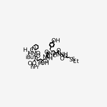 CCCC(=O)OCN(C(=O)[C@@H](NC(=O)[C@H]1CCCCN1C)C(C)CC)[C@H](C[C@@H](O)c1nc(C(=O)N[C@@H](Cc2ccc(O)cc2)C[C@H](C)C(=O)NNC(=O)OCCSSCC)cs1)C(C)C